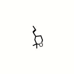 C/C=C/C1CCOC(C)(C)C1